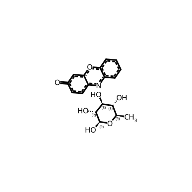 C[C@H]1O[C@@H](O)[C@H](O)[C@@H](O)[C@@H]1O.O=c1ccc2nc3ccccc3oc-2c1